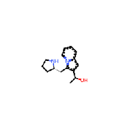 CC(O)c1cc2ccccn2c1C[C@@H]1CCCN1